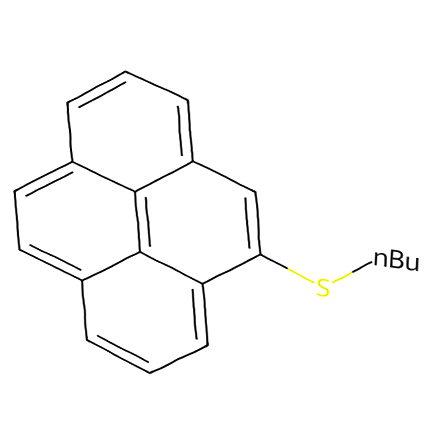 CCCCSc1cc2cccc3ccc4cccc1c4c32